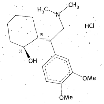 COc1ccc(C(CN(C)C)[C@H]2CCCC[C@@H]2O)cc1OC.Cl